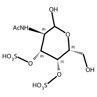 CC(=O)N[C@H]1C(O)O[C@H](CO)[C@H](OS(=O)(=O)O)[C@@H]1OS(=O)(=O)O